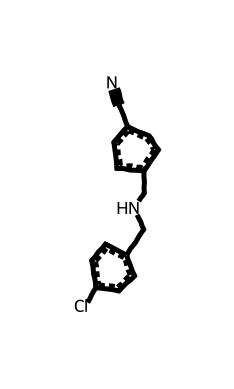 N#Cc1ccc(CNCc2ccc(Cl)cc2)cc1